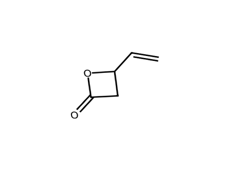 C=CC1CC(=O)O1